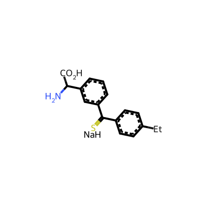 CCc1ccc(C(=S)c2cccc(C(N)C(=O)O)c2)cc1.[NaH]